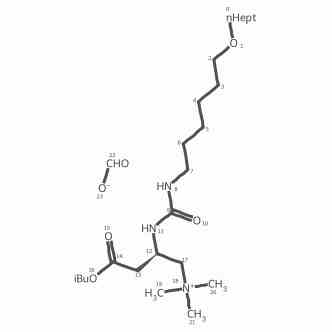 CCCCCCCOCCCCCCNC(=O)N[C@H](CC(=O)OCC(C)C)C[N+](C)(C)C.O=C[O-]